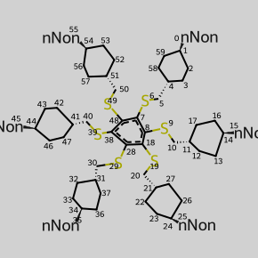 CCCCCCCCC[C@H]1CC[C@H](CSc2c(SC[C@H]3CC[C@H](CCCCCCCCC)CC3)c(SC[C@H]3CC[C@H](CCCCCCCCC)CC3)c(SC[C@H]3CC[C@H](CCCCCCCCC)CC3)c(SC[C@H]3CC[C@H](CCCCCCCCC)CC3)c2SC[C@H]2CC[C@H](CCCCCCCCC)CC2)CC1